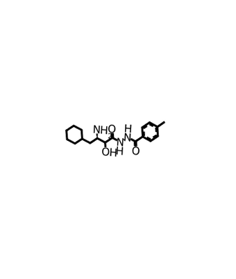 Cc1ccc(C(=O)NNC(=O)C(O)[C@H](N)CC2CCCCC2)cc1